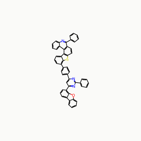 c1ccc(-c2nc(-c3ccc(-c4cccc5c4sc4ccc6c(-c7ccccc7)nc7ccccc7c6c45)cc3)cc(-c3cccc4c3oc3ccccc34)n2)cc1